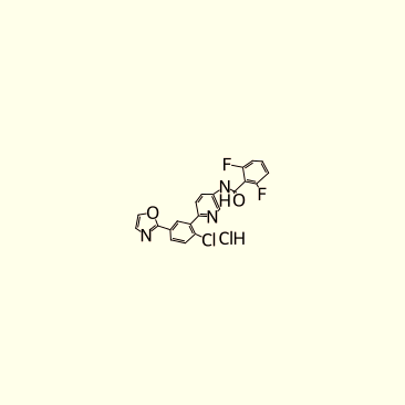 Cl.O=C(Nc1ccc(-c2cc(-c3ncco3)ccc2Cl)nc1)c1c(F)cccc1F